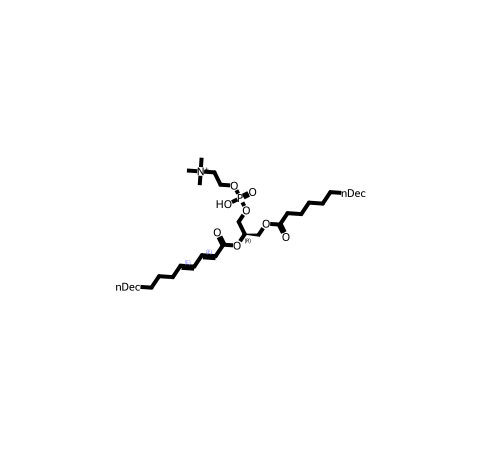 CCCCCCCCCCCCC/C=C/C=C/C(=O)O[C@H](COC(=O)CCCCCCCCCCCCCCC)COP(=O)(O)OCC[N+](C)(C)C